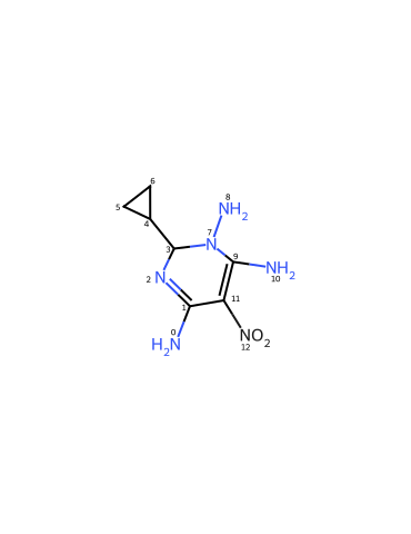 NC1=NC(C2CC2)N(N)C(N)=C1[N+](=O)[O-]